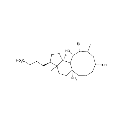 CC[C@@H]1C(C)C[C@H](O)CCC[C@@]2(N)CCC3(C)[C@@H](CCCC(=O)O)CC[C@H]3C2[C@@H]1O